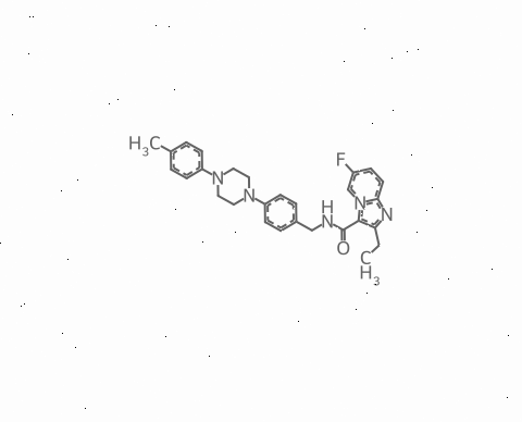 CCc1nc2ccc(F)cn2c1C(=O)NCc1ccc(N2CCN(c3ccc(C)cc3)CC2)cc1